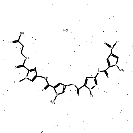 Cl.Cn1cc(NC(=O)c2cc(NC(=O)c3cc(NC(=O)c4cc([N+](=O)[O-])cn4C)cn3C)cn2C)cc1C(=O)NCCC(=N)N